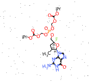 CC(C)OC(=O)OCOP(=O)(OCOC(=O)OC(C)C)OC[C@]1(F)C[C@H](C)[C@H](n2cnc3c(=O)[nH]c(N)nc32)O1